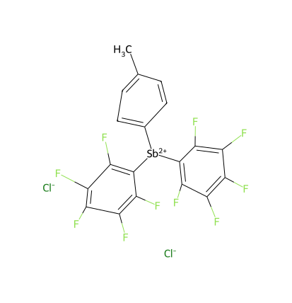 Cc1cc[c]([Sb+2]([c]2c(F)c(F)c(F)c(F)c2F)[c]2c(F)c(F)c(F)c(F)c2F)cc1.[Cl-].[Cl-]